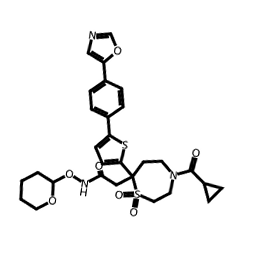 O=C(CC1(c2ccc(-c3ccc(-c4cnco4)cc3)s2)CCN(C(=O)C2CC2)CCS1(=O)=O)NOC1CCCCO1